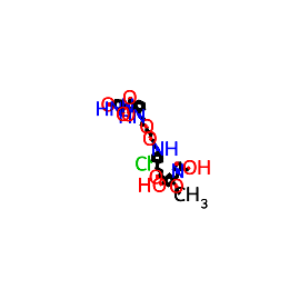 CCOc1cc(O)c(C(=O)/C=C/c2ccc(NCCOCCOCCNc3cccc4c3C(=O)N(C3CCC(=O)NC3=O)C4=O)cc2Cl)cc1CN1CCC[C@H]1CO